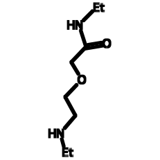 CCNCCOCC(=O)NCC